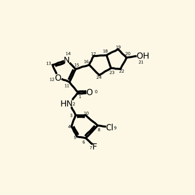 O=C(Nc1ccc(F)c(Cl)c1)c1ocnc1C1CC2CC(O)CC2C1